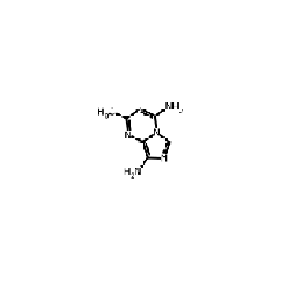 Cc1cc(N)n2cnc(N)c2n1